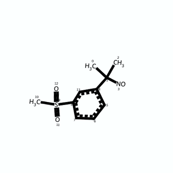 CC(C)(N=O)c1cccc(S(C)(=O)=O)c1